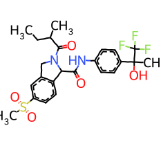 CCC(C)C(=O)N1Cc2cc(S(C)(=O)=O)ccc2C1C(=O)Nc1ccc(C(C)(O)C(F)(F)F)cc1